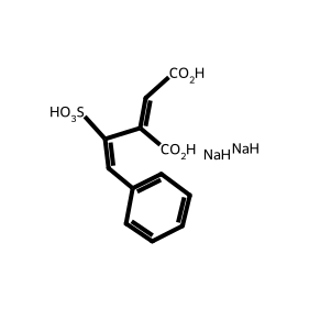 O=C(O)/C=C(\C(=O)O)C(=Cc1ccccc1)S(=O)(=O)O.[NaH].[NaH]